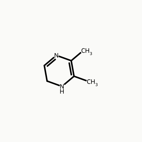 CC1=C(C)NCC=N1